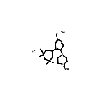 CCCCN1CCN(c2ccc(COC)cc2C2CC(C)(C)CC(C)(C)C2)CC1.Cl